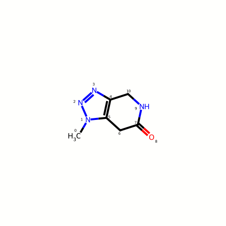 Cn1nnc2c1CC(=O)NC2